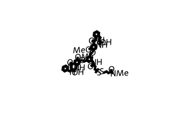 CNC(=O)CCCSSC(C)(C)CCC(=O)Nc1cc(COc2cc3c(cc2OC)C(=O)N2c4ccccc4C[C@H]2C(O)N3)cc(COc2cc3c(cc2OC)C(=O)N2c4ccccc4C[C@H]2C(O)N3)c1